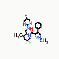 CCc1cnc(NCC2[C@H](C)CC(F)(F)CN2C(=O)c2nn(C)cc2-c2ccccc2)nc1